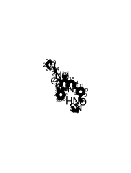 O=C(Nc1nccs1)c1cccc(-c2ccc3c(=O)c(C(=O)NCCN4CCCC4)c4sc5ccccc5n4c3n2)c1